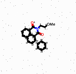 COCCN1C(=O)c2cccc3cccc(c23)C1=O.c1ccccc1